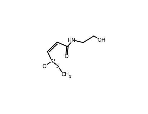 CS[S+]([O-])/C=C\C(=O)NCCO